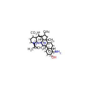 CC(=O)O[C@H]1C[C@@]2(C)[C@H](/C1=C(/C(=O)O)C1CCCC(=C(C)C)C1)[C@@H](N)C[C@H]1[C@@]3(C)CC[C@@H](O)[C@@H](N)[C@@H]3CC[C@@]12N